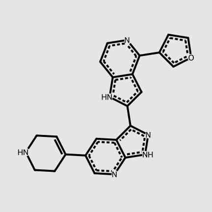 C1=C(c2cnc3[nH]nc(-c4cc5c(-c6ccoc6)nccc5[nH]4)c3c2)CCNC1